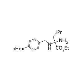 CCCCCCc1ccc(CNC(N)(CC(C)C)C(=O)OCC)cc1